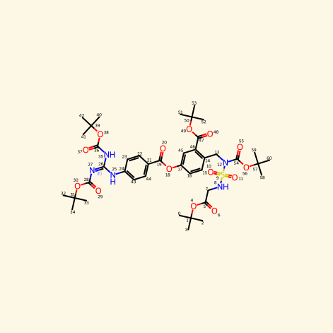 CC(C)(C)OC(=O)CNS(=O)(=O)N(Cc1ccc(OC(=O)c2ccc(N/C(=N\C(=O)OC(C)(C)C)NC(=O)OC(C)(C)C)cc2)cc1C(=O)OC(C)(C)C)C(=O)OC(C)(C)C